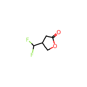 O=C1CC(C(F)F)CO1